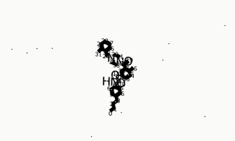 CCCCc1ccc(NS(=O)(=O)c2ccc(C)c(C(=O)N3CCN(Cc4ccccc4C)CC3)c2)cc1